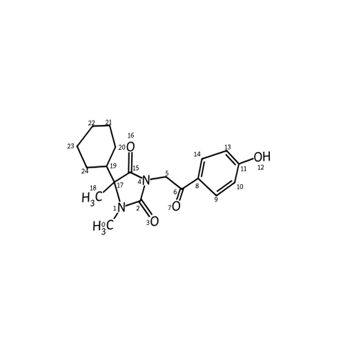 CN1C(=O)N(CC(=O)c2ccc(O)cc2)C(=O)C1(C)C1CCCCC1